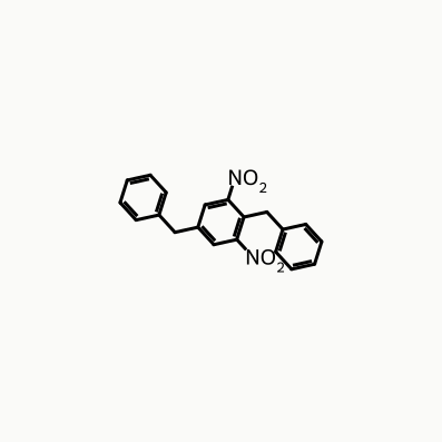 O=[N+]([O-])c1cc(Cc2ccccc2)cc([N+](=O)[O-])c1Cc1ccccc1